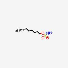 CCCCCCCCCCCCOS([NH])(=O)=O